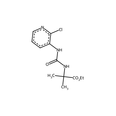 CCOC(=O)C(C)(C)NC(=O)Nc1cccnc1Cl